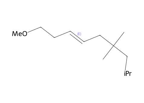 COCC/C=C/CC(C)(C)CC(C)C